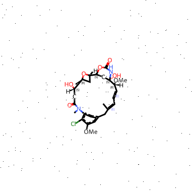 COc1cc2cc(c1Cl)N(C)C(=O)C[C@H](O)[C@@]1(C)CC(C)(O1)[C@@H]1C[C@@](O)(NC(=O)O1)[C@H](OC)/C=C/C=C(\C)C2